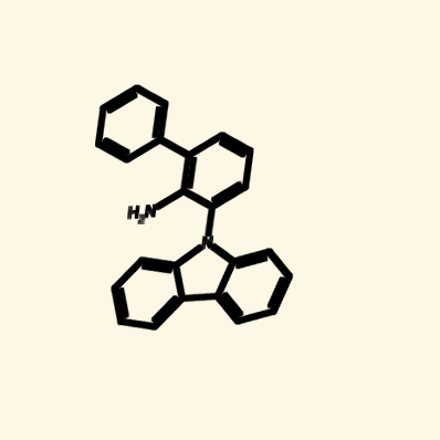 Nc1c(-c2ccccc2)cccc1-n1c2ccccc2c2ccccc21